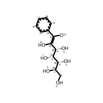 OC[C@@H](O)[C@@H](O)[C@H](O)[C@@H](O)C(O)=C(Cl)c1ccccc1